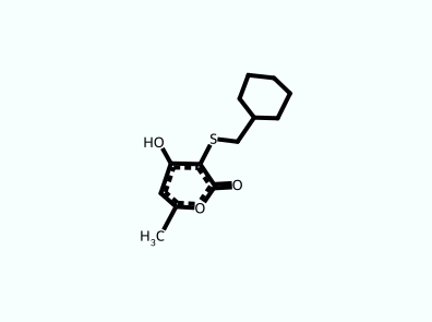 Cc1cc(O)c(SCC2CCCCC2)c(=O)o1